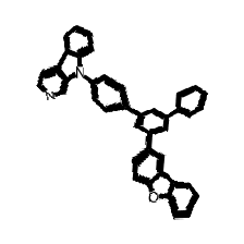 c1ccc(-c2cc(-c3ccc(-n4c5ccccc5c5ccncc54)cc3)cc(-c3ccc4oc5ccccc5c4c3)c2)cc1